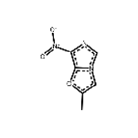 Cc1cn2cnc([N+](=O)[O-])c2o1